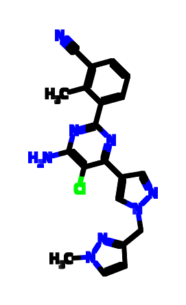 Cc1c(C#N)cccc1-c1nc(N)c(Cl)c(-c2cnn(Cc3ccn(C)n3)c2)n1